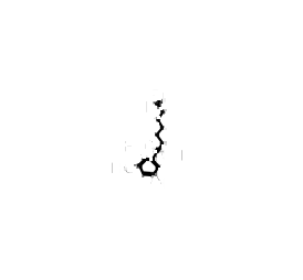 CC(C)(CCCCCC(F)(F)F)c1cc(O)cc(O)c1